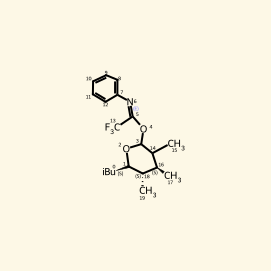 CC[C@H](C)C1OC(O/C(=N/c2ccccc2)C(F)(F)F)C(C)[C@@H](C)[C@@H]1C